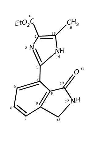 CCOC(=O)c1nc(-c2cccc3c2C(=O)NC3)[nH]c1C